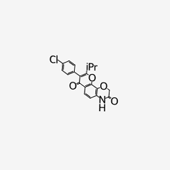 CC(C)c1oc2c3c(ccc2c(=O)c1-c1ccc(Cl)cc1)NC(=O)CO3